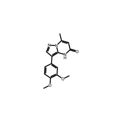 COc1ccc(-c2cnn3c(C)cc(=O)[nH]c23)cc1OC